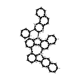 c1ccc(-c2nc3c(ccc4ccccc43)nc2-n2c3cccc4c5cccc6c7cc8ccccc8cc7n(c7cc8ccccc8c2c7c43)c56)cc1